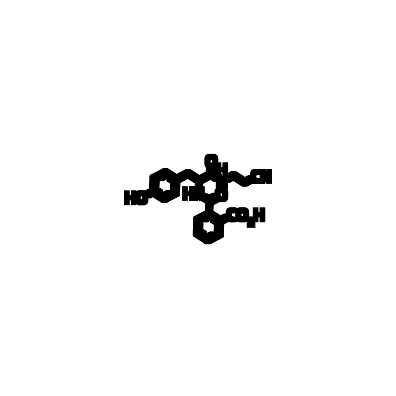 N#CCCNC(=O)C(Cc1ccc(O)cc1)NC(=O)c1ccccc1C(=O)O